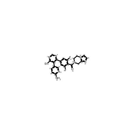 CCc1ncnc(-c2cc(F)c(C(=O)N3CCn4ccnc4C3)c(F)c2)c1-c1ccc(N)nc1